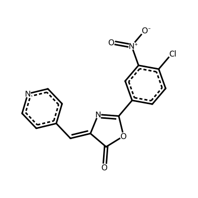 O=C1OC(c2ccc(Cl)c([N+](=O)[O-])c2)=NC1=Cc1ccncc1